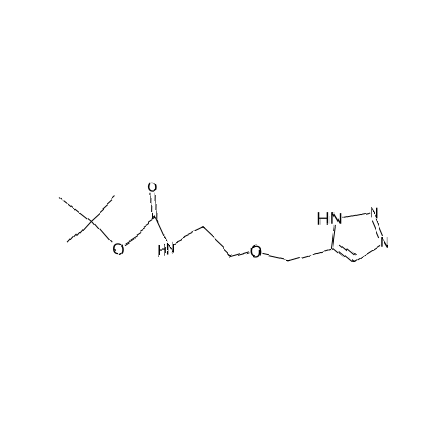 CC(C)(C)OC(=O)NCCOCc1cnn[nH]1